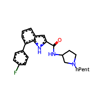 CCCCCN1CCC(NC(=O)c2cc3cccc(-c4ccc(F)cc4)c3[nH]2)C1